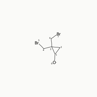 [O]C1CC1(CBr)CBr